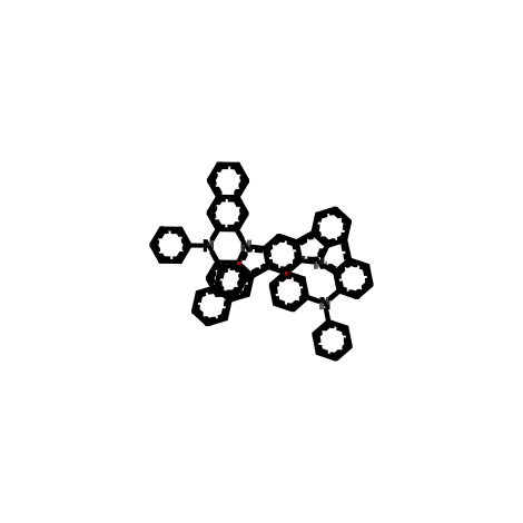 c1ccc(N(c2ccccc2)c2cc3ccccc3cc2-n2c3cc4ccccc4cc3c3cc4c(cc32)c2cccc3c5cccc(N(c6ccccc6)c6ccccc6)c5n4c23)cc1